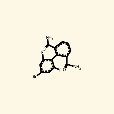 NC(=O)c1cccc(C(N)=O)c1-c1c(F)cc(Br)cc1F